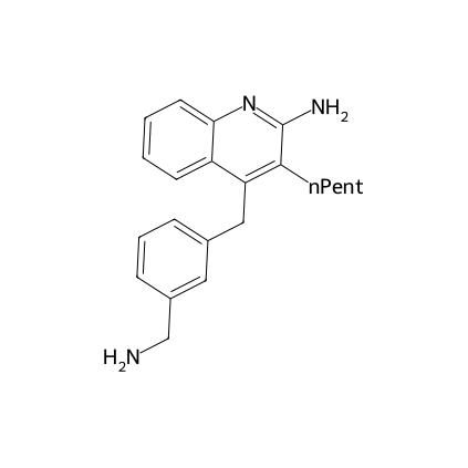 CCCCCc1c(N)nc2ccccc2c1Cc1cccc(CN)c1